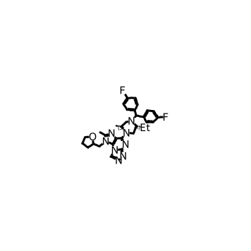 CC[C@@H]1CN(c2nc3nncn3c3c2nc(C)n3CC2CCCO2)[C@@H](C)CN1C(c1ccc(F)cc1)c1ccc(F)cc1